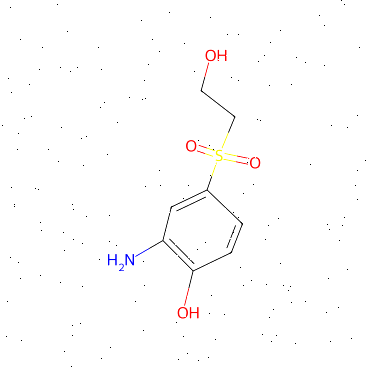 Nc1cc(S(=O)(=O)CCO)ccc1O